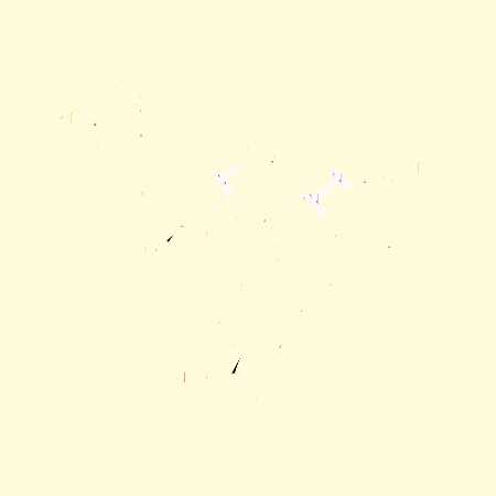 C[C@H](Oc1cc(-n2nc(C(F)(F)F)c3c2[C@@H](O[C@H]2CC[C@H](C(=O)O)CC2)CCC3)cc(F)n1)c1ccc2c(c1)OC(F)(F)O2